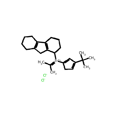 C[C](C)=[Zr+2]([C]1=CC(C(C)(C)C)=CC1)[CH]1CCCC2=C1CC1=C2CCCC1.[Cl-].[Cl-]